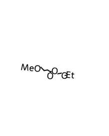 CCOCCOC(=O)CCCOC